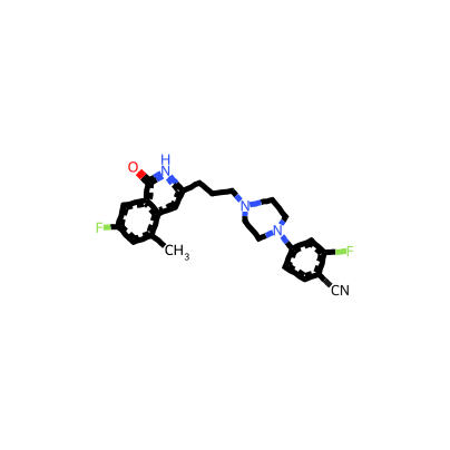 Cc1cc(F)cc2c(=O)[nH]c(CCCN3CCN(c4ccc(C#N)c(F)c4)CC3)cc12